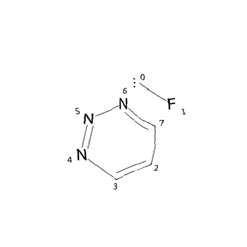 [C]F.c1cnnnc1